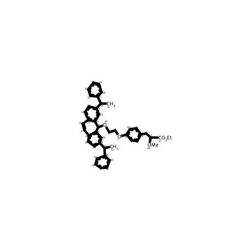 CCOC(=O)C(Cc1ccc(OCCOC2c3cc(C(C)c4ccccc4)ccc3C=Cc3ccc(C(C)c4ccccc4)cc32)cc1)OC